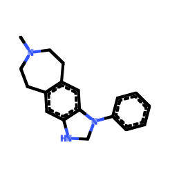 CN1CCc2cc3c(cc2CC1)N(c1ccccc1)CN3